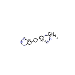 CC1(C)/C=C\C=N/Cc2nc(-c3ccc(-c4ccc5c(n4)C/N=C\C=C/C/C=C\5)cc3)ccc2/C=C\1